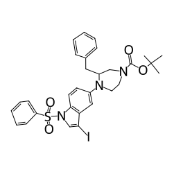 CC(C)(C)OC(=O)N1CCN(c2ccc3c(c2)c(I)cn3S(=O)(=O)c2ccccc2)C(Cc2ccccc2)C1